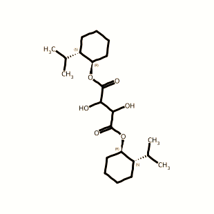 CC(C)[C@@H]1CCCC[C@H]1OC(=O)C(O)C(O)C(=O)O[C@@H]1CCCC[C@H]1C(C)C